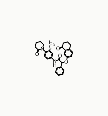 Cc1cc(NC(=O)C(Oc2ccc3c(c2)C(=O)CCC3)c2ccccc2)ccc1N1CCCCC1=O